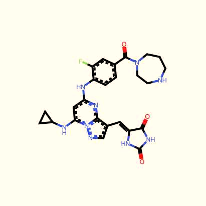 O=C1NC(=O)/C(=C/c2cnn3c(NC4CC4)cc(Nc4ccc(C(=O)N5CCCNCC5)cc4F)nc23)N1